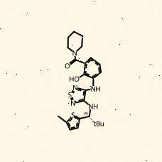 Cc1ccc([C@H](Nc2nsnc2Nc2cccc(C(=O)N3CCCCC3)c2O)C(C)(C)C)s1